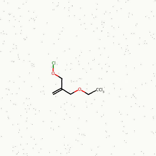 C=C(COCl)COCC(Cl)(Cl)Cl